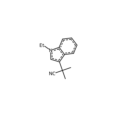 CCn1cc(C(C)(C)C#N)c2ccccc21